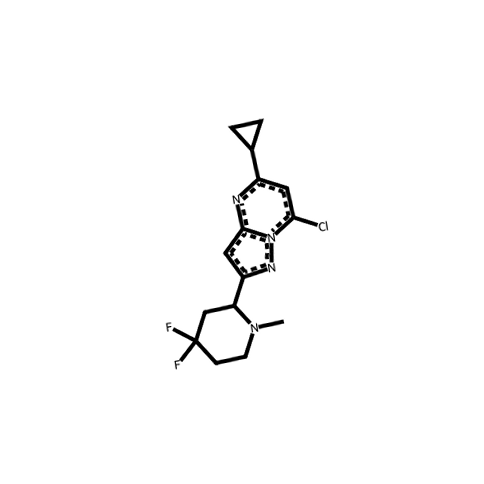 CN1CCC(F)(F)CC1c1cc2nc(C3CC3)cc(Cl)n2n1